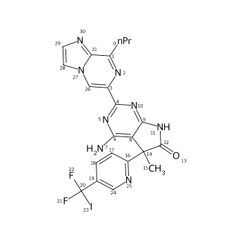 CCCc1nc(-c2nc(N)c3c(n2)NC(=O)C3(C)c2ccc(C(F)(F)I)cn2)cn2ccnc12